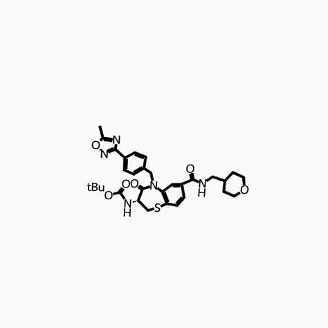 Cc1nc(-c2ccc(CN3C(=O)[C@@H](NC(=O)OC(C)(C)C)CSc4ccc(C(=O)NCC5CCOCC5)cc43)cc2)no1